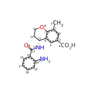 Cc1cc(C(=O)O)cc2c1OCC[C@H]2NC(=O)c1ccccc1N